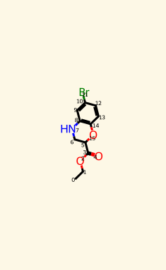 CCOC(=O)C1CNc2cc(Br)ccc2O1